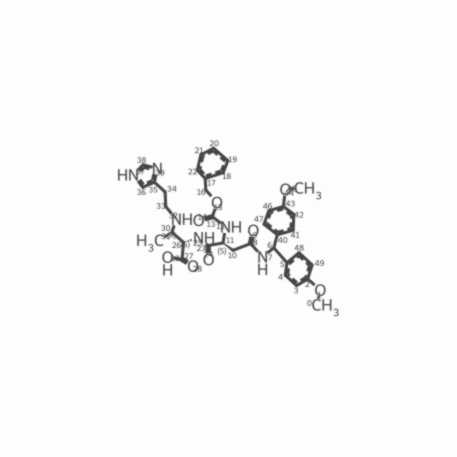 COc1ccc(C(NC(=O)C[C@H](NC(=O)OCc2ccccc2)C(=O)N[C@H](C(=O)O)[C@@H](C)NCCc2c[nH]cn2)c2ccc(OC)cc2)cc1